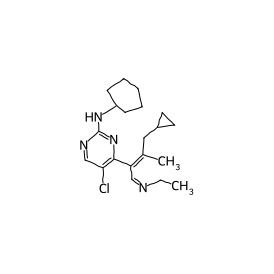 CC/N=C\C(=C(/C)CC1CC1)c1nc(NC2CCCCC2)ncc1Cl